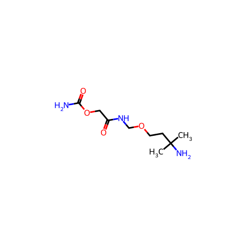 CC(C)(N)CCOCNC(=O)COC(N)=O